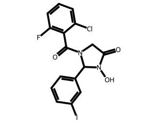 O=C1CN(C(=O)c2c(F)cccc2Cl)C(c2cccc(I)c2)N1O